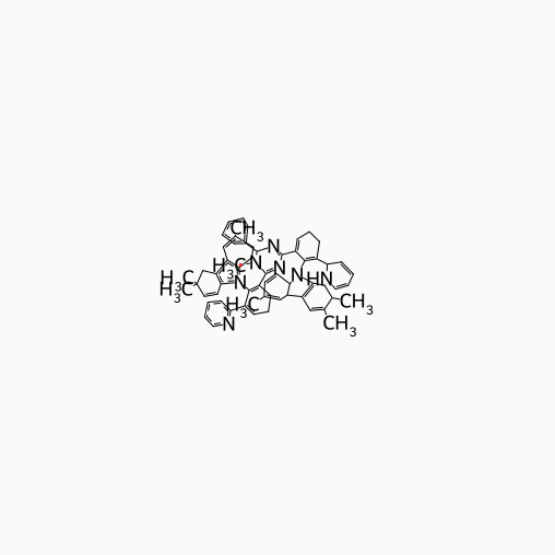 CC1=CC2C3=C(CC(C)C(C)=C3)N(C3=C(C4C=CC=CN4)CCC=C3C3=NC(c4ccccc4)N(C)C(C4=C(n5c6c(c7c5CCC(C)=C7)CC(C)(C)C=C6)C(c5ccccn5)=CCC4)=N3)C2C=C1